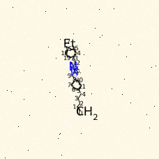 C=CCCCc1ccc(/C=N/N=C/c2ccc(CC)cc2)cc1